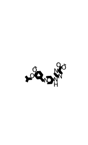 COC(=O)c1cnc(NC2CCN(Cc3ccc(OC)c(OCC(C)C)c3)CC2)cn1